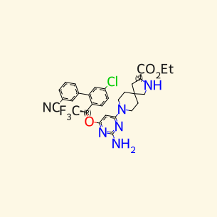 CCOC(=O)[C@@H]1CC2(CCN(c3cc(O[C@H](c4ccc(Cl)cc4-c4cccc(C#N)c4)C(F)(F)F)nc(N)n3)CC2)CN1